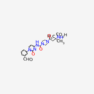 CC(C)(CC(=O)N1CCN(C(=O)Nc2ccn(-c3cccc(C=O)c3)c(=O)n2)CC1)NC(=O)O